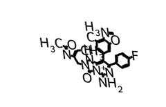 Cc1nc(Cn2[nH]c3c(-c4cc(C)c5ncoc5c4)c(-c4ccc(F)cc4)nc(N)[n+]3c2=O)c(C)o1